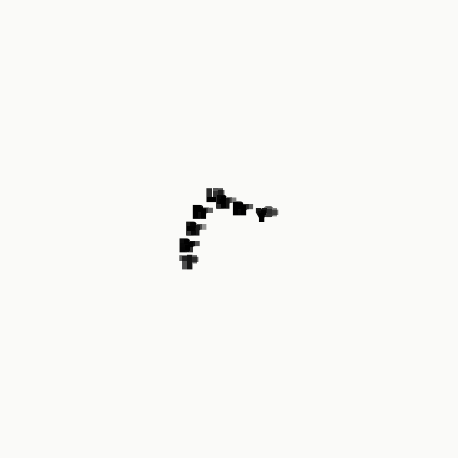 [Br-].[Br-].[Br-].[Br-].[Br-].[Li+].[Tl+].[Y+3]